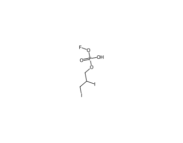 O=P(O)(OF)OCC(I)CI